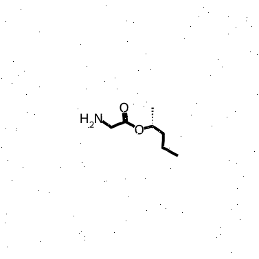 CCC[C@@H](C)OC(=O)CN